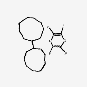 C1CCCCC(C2CCCCCCCC2)CCC1.FC1=C(F)OC(F)=C(F)O1